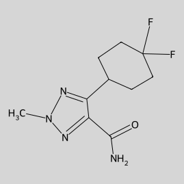 Cn1nc(C(N)=O)c(C2CCC(F)(F)CC2)n1